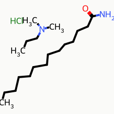 CCCCCCCCCCCCCC(N)=O.CCCN(C)C.Cl